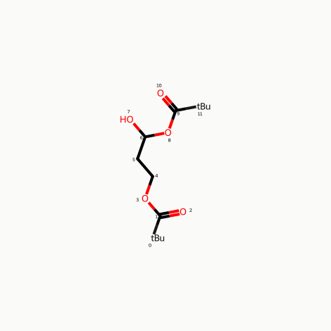 CC(C)(C)C(=O)OCCC(O)OC(=O)C(C)(C)C